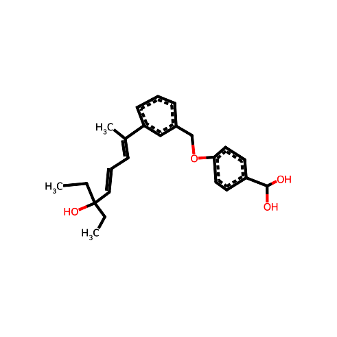 CCC(O)(C=CC=C(C)c1cccc(COc2ccc(C(O)O)cc2)c1)CC